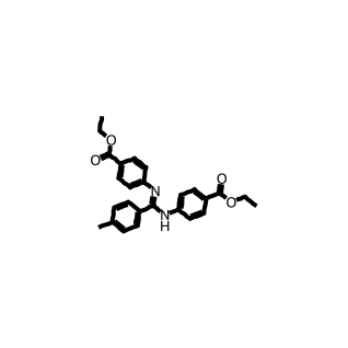 CCOC(=O)c1ccc(/N=C(/Nc2ccc(C(=O)OCC)cc2)c2ccc(C)cc2)cc1